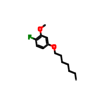 CCCCCCCOc1ccc(F)c(OC)c1